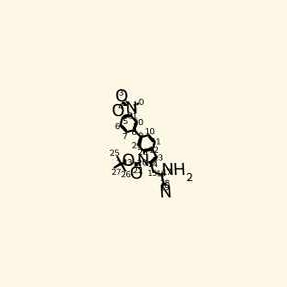 Cn1c(=O)oc2ccc(-c3ccc4cc(CC(N)C#N)n(C(=O)OC(C)(C)C)c4c3)cc21